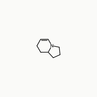 C1=CN2CCCC2CC1